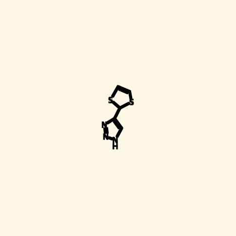 C1=CSC(c2c[nH]nn2)S1